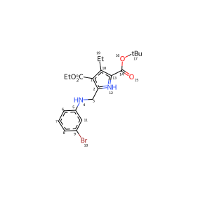 CCOC(=O)c1c(CNc2cccc(Br)c2)[nH]c(C(=O)OC(C)(C)C)c1CC